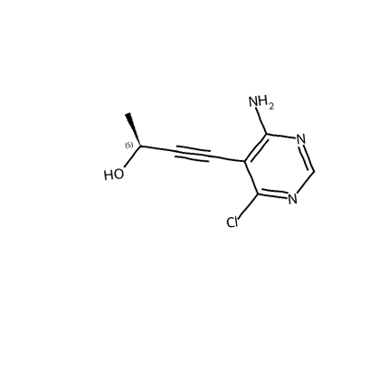 C[C@H](O)C#Cc1c(N)ncnc1Cl